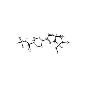 CCC1(C)C(=O)Nc2ccc(C3CCN(C(=O)OC(C)(C)C)CC3)cc21